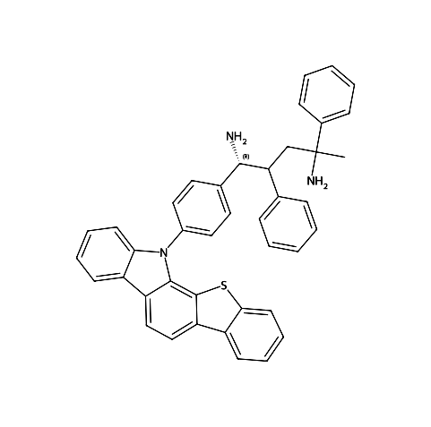 CC(N)(CC(c1ccccc1)[C@@H](N)c1ccc(-n2c3ccccc3c3ccc4c5ccccc5sc4c32)cc1)c1ccccc1